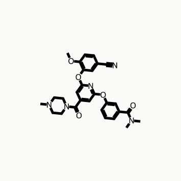 COc1ccc(C#N)cc1Oc1cc(C(=O)N2CCN(C)CC2)cc(Oc2cccc(C(=O)N(C)C)c2)n1